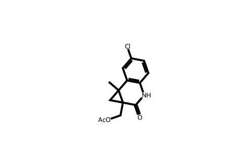 CC(=O)OCC12CC1(C)c1cc(Cl)ccc1NC2=O